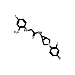 Nc1cc(F)ccc1NCC(=O)NC1C2CN(c3ccc(F)cc3F)CC21